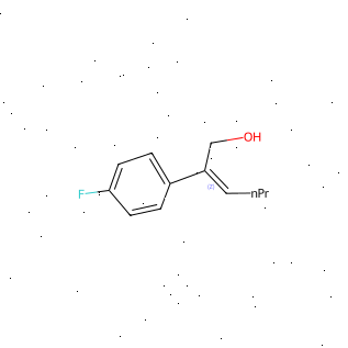 CCC/C=C(\CO)c1ccc(F)cc1